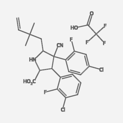 C=CC(C)(C)CC1NC(C(=O)O)C(c2cccc(Cl)c2F)C1(C#N)c1ccc(Cl)cc1F.O=C(O)C(F)(F)F